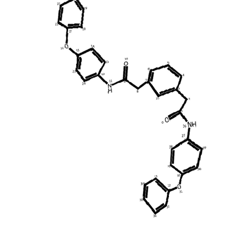 O=C(Cc1cccc(CC(=O)Nc2ccc(Oc3ccccc3)cc2)c1)Nc1ccc(Oc2ccccc2)cc1